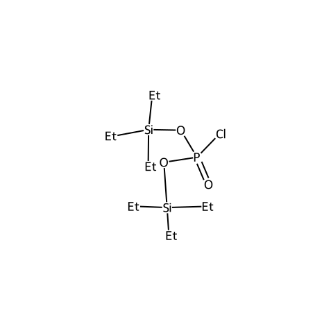 CC[Si](CC)(CC)OP(=O)(Cl)O[Si](CC)(CC)CC